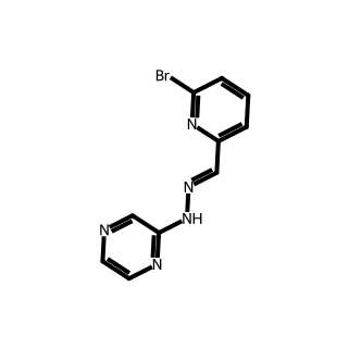 Brc1cccc(C=NNc2cnccn2)n1